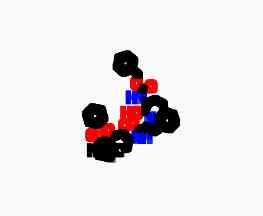 O=C(O)CC(NC(=O)[C@@H]1Cc2cccc3c2N1C(O)[C@@H](NC(=O)OCc1ccccc1)CC3)C(=O)COP(=O)(c1ccccc1)c1ccccc1